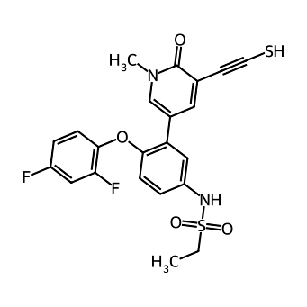 CCS(=O)(=O)Nc1ccc(Oc2ccc(F)cc2F)c(-c2cc(C#CS)c(=O)n(C)c2)c1